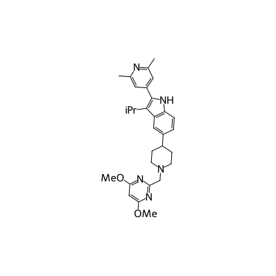 COc1cc(OC)nc(CN2CCC(c3ccc4[nH]c(-c5cc(C)nc(C)c5)c(C(C)C)c4c3)CC2)n1